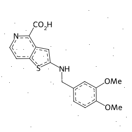 COc1ccc(CNc2cc3c(C(=O)O)nccc3s2)cc1OC